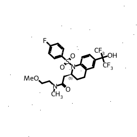 COCCN(C)C(=O)C[C@@H]1CCc2cc(C(O)(C(F)(F)F)C(F)(F)F)ccc2N1S(=O)(=O)c1ccc(F)cc1